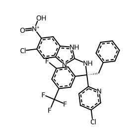 O=[N+](O)c1cc2[nH]c(N[C@](Cc3ccccc3)(c3cc(F)cc(C(F)(F)F)c3)c3ccc(Cl)cn3)nc2cc1Cl